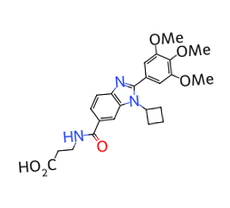 COc1cc(-c2nc3ccc(C(=O)NCCC(=O)O)cc3n2C2CCC2)cc(OC)c1OC